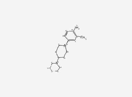 Cc1cc(N2CCC(N3CCCCC3)CC2)ccc1N